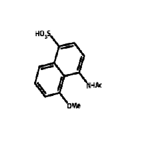 COc1cccc2c(S(=O)(=O)O)ccc(NC(C)=O)c12